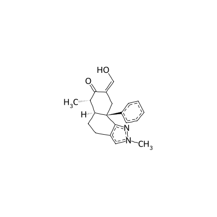 C[C@@H]1C(=O)/C(=C\O)C[C@]2(c3ccccc3)c3nn(C)cc3CC[C@@H]12